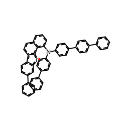 c1ccc(-c2ccc(-c3ccc(N(c4ccc(-c5ccccc5)cc4)c4cccc5ccc6c7ccc(-c8ccccc8)cc7oc6c45)cc3)cc2)cc1